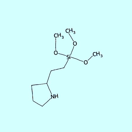 CO[Si](CCC1CCCN1)(OC)OC